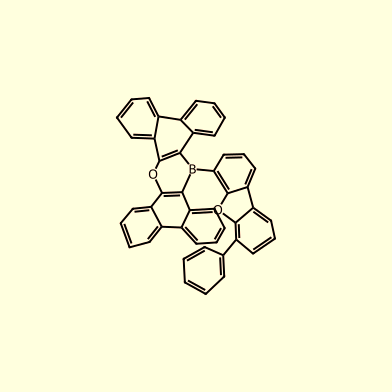 c1ccc(-c2cccc3c2oc2c(B4c5c(c6ccccc6c6ccccc56)Oc5c4c4ccccc4c4ccccc54)cccc23)cc1